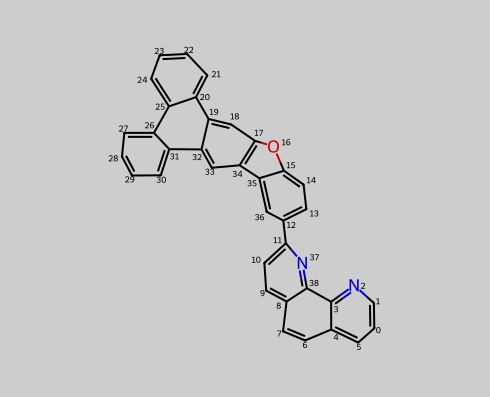 c1cnc2c(c1)ccc1ccc(-c3ccc4oc5cc6c7ccccc7c7ccccc7c6cc5c4c3)nc12